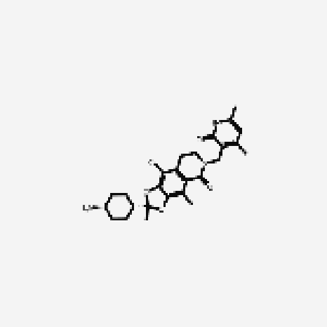 Cc1cc(C)c(CN2CCc3c(Cl)c4c(c(C)c3C2=O)OC(C)([C@H]2CC[C@H](N)CC2)O4)c(=O)[nH]1